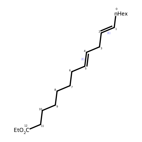 CCCCCC/C=C/C/C=C/CCCCCCC(=O)OCC